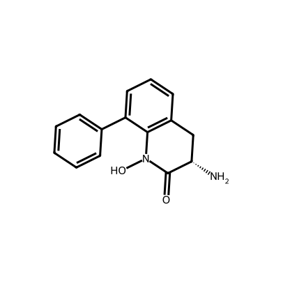 N[C@H]1Cc2cccc(-c3ccccc3)c2N(O)C1=O